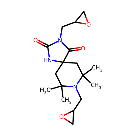 CC1(C)CC2(CC(C)(C)N1CC1CO1)NC(=O)N(CC1CO1)C2=O